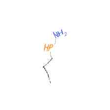 CCCPN